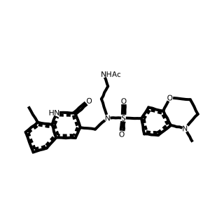 CC(=O)NCCN(Cc1cc2cccc(C)c2[nH]c1=O)S(=O)(=O)c1ccc2c(c1)OCCN2C